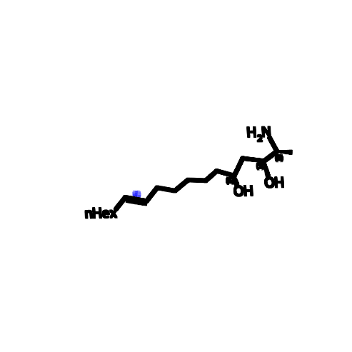 CCCCCC/C=C/CCCCC[C@H](O)C[C@H](O)[C@H](C)N